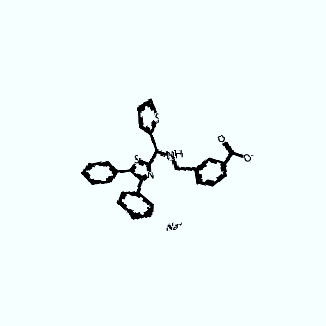 O=C([O-])c1cccc(CNC(c2cccs2)c2nc(-c3ccccc3)c(-c3ccccc3)s2)c1.[Na+]